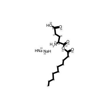 CCCCCCCCCC(=O)OC(=O)C(N)CCC(=O)O.[NaH].[NaH]